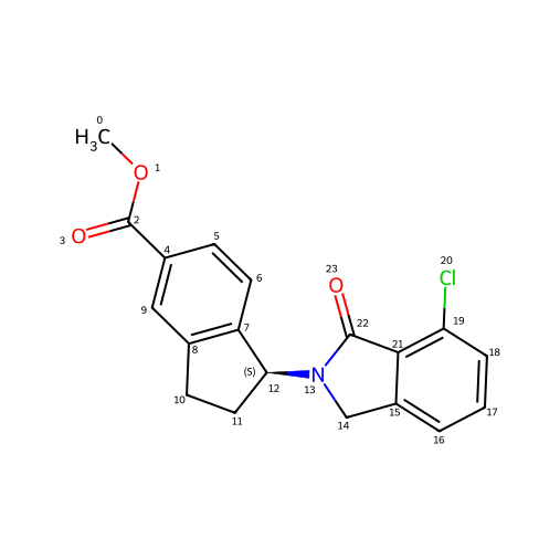 COC(=O)c1ccc2c(c1)CC[C@@H]2N1Cc2cccc(Cl)c2C1=O